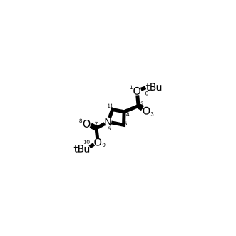 CC(C)(C)OC(=O)C1CN(C(=O)OC(C)(C)C)C1